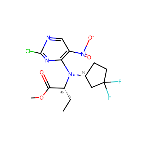 CC[C@H](C(=O)OC)N(c1nc(Cl)ncc1[N+](=O)[O-])[C@@H]1CCC(F)(F)C1